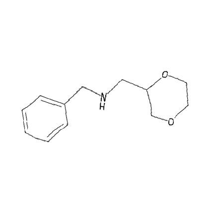 c1ccc(CNCC2COCCO2)cc1